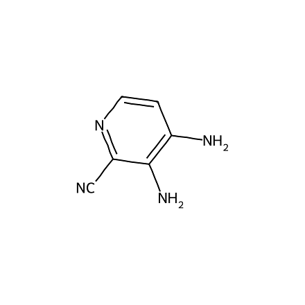 N#Cc1nccc(N)c1N